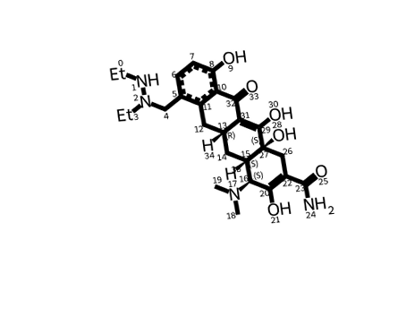 CCNN(CC)Cc1ccc(O)c2c1C[C@H]1C[C@H]3[C@H](N(C)C)C(O)=C(C(N)=O)C[C@@]3(O)C(O)=C1C2=O